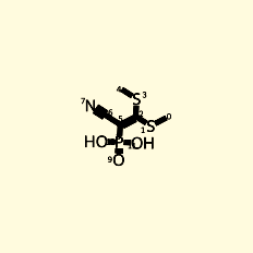 CSC(SC)=C(C#N)P(=O)(O)O